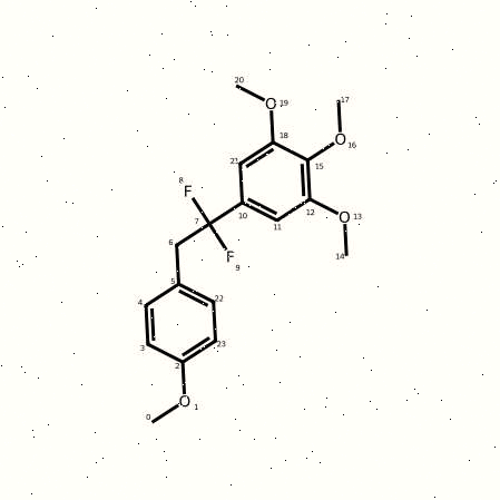 COc1ccc(CC(F)(F)c2cc(OC)c(OC)c(OC)c2)cc1